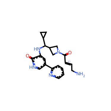 NC/C=C/C(=O)N1CC(C(Nc2cc(-c3ccccn3)c[nH]c2=O)C2CC2)C1